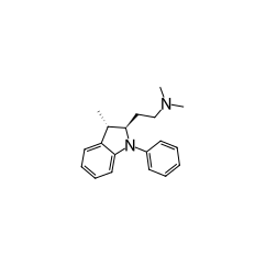 C[C@H]1c2ccccc2N(c2ccccc2)[C@@H]1CCN(C)C